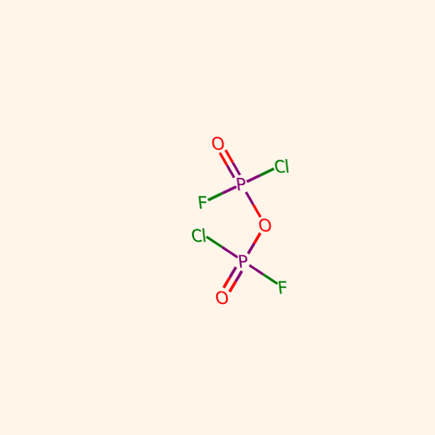 O=P(F)(Cl)OP(=O)(F)Cl